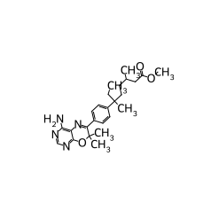 CCC(C)(CCC(C)CC(=O)OC)c1ccc(C2=Nc3c(N)ncnc3OC2(C)C)cc1